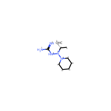 C[C@@H](C=O)N(NC(=N)N)N1CCCCC1